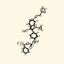 N#Cc1c(-c2ccc(NC(=O)OC(c3ccccc3)C(F)(F)F)cc2)n(C2CC2)c2cc(OCC3OCCO3)ccc12